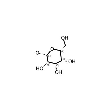 [O][C@@H]1O[C@H](CO)[C@H](O)[C@H](O)[C@@H]1O